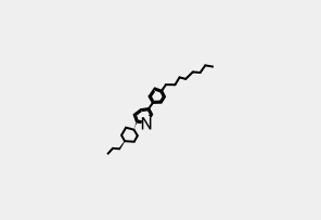 CCCCCCCCc1ccc(-c2ccc([C@H]3CC[C@H](CCC)CC3)nc2)cc1